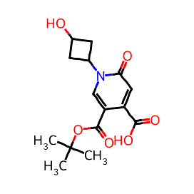 CC(C)(C)OC(=O)c1cn(C2CC(O)C2)c(=O)cc1C(=O)O